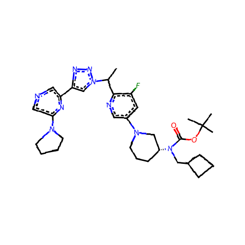 CC(c1ncc(N2CCC[C@@H](N(CC3CCC3)C(=O)OC(C)(C)C)C2)cc1F)n1cc(-c2cncc(N3CCCC3)n2)nn1